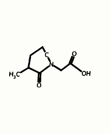 CC1CCCN(CC(=O)O)C1=O